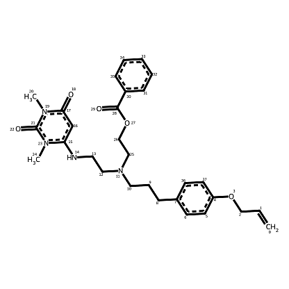 C=CCOc1ccc(CCCN(CCNc2cc(=O)n(C)c(=O)n2C)CCOC(=O)c2ccccc2)cc1